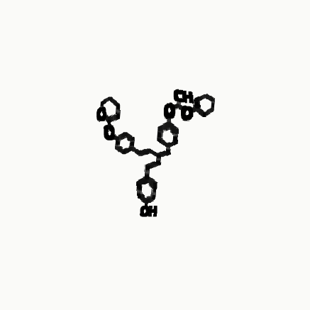 CC(Oc1ccc(C=C(C=Cc2ccc(O)cc2)C=Cc2ccc(OC3CCCCO3)cc2)cc1)OC1CCCCC1